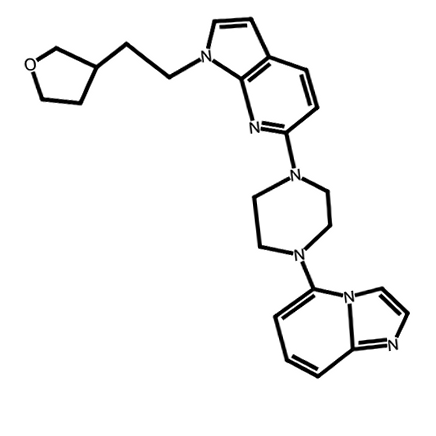 c1cc(N2CCN(c3ccc4ccn(CCC5CCOC5)c4n3)CC2)n2ccnc2c1